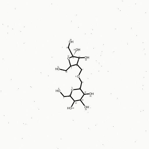 OCC1OC(COCC2C(CO)O[C@@](O)(CO)C2O)C(O)C(O)C1O